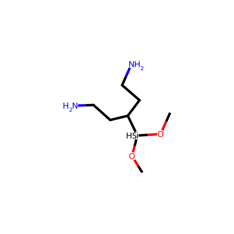 CO[SiH](OC)C(CCN)CCN